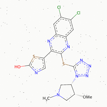 CO[C@@H]1CN(C)C[C@@H]1n1nnnc1Sc1nc2cc(Cl)c(Cl)cc2nc1-c1cnc(O)s1